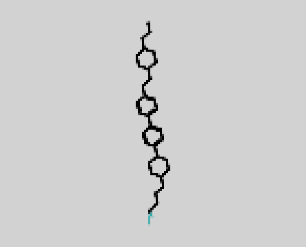 CCCC1CCC(CCc2ccc(-c3ccc(C4CCC(CCCCF)CC4)cc3)cc2)CC1